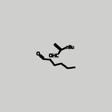 C=C(C=O)CCCC.CCCCCC=O